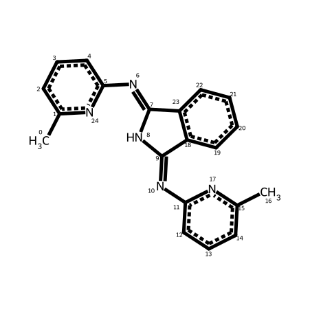 Cc1cccc(/N=C2\N/C(=N/c3cccc(C)n3)c3ccccc32)n1